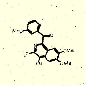 COc1cccc(C(=O)c2nc(C)c(C#N)c3cc(OC)c(OC)cc23)c1